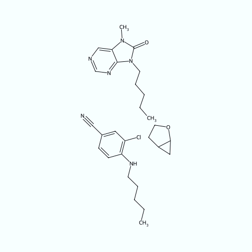 C1CC2CC2O1.CCCCCNc1ccc(C#N)cc1Cl.CCCCCn1c(=O)n(C)c2cncnc21